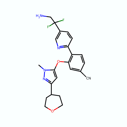 Cn1nc(C2CCOCC2)cc1Oc1cc(C#N)ccc1-c1ccc(C(F)(F)CN)cn1